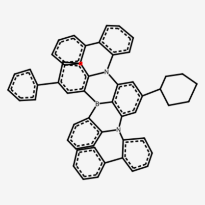 c1ccc(-c2ccc3c(c2)B2c4ccccc4N(c4ccccc4-c4ccccc4)c4cc(C5CCCCC5)cc(c42)N3c2ccccc2-c2ccccc2)cc1